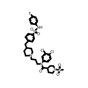 CS(=O)(=O)N1CCC(C(=O)N(CCCN2CCC(Cc3ccc(S(=O)(=O)Nc4ccc(F)cc4)cc3)CC2)c2ccc(Cl)c(Cl)c2)CC1